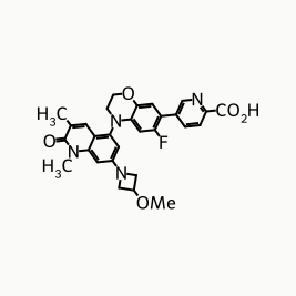 COC1CN(c2cc(N3CCOc4cc(-c5ccc(C(=O)O)nc5)c(F)cc43)c3cc(C)c(=O)n(C)c3c2)C1